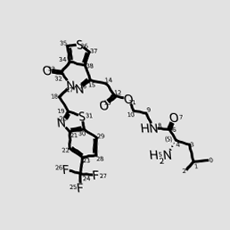 CC(C)C[C@H](N)C(=O)NCCOC(=O)Cc1nn(Cc2nc3cc(C(F)(F)F)ccc3s2)c(=O)c2cscc12